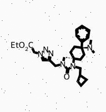 CCOC(=O)Cn1cc(CN2C[C@]3(CC[C@](c4ccccc4)(N(C)C)CC3)N(CC3CCC3)C2=O)nn1